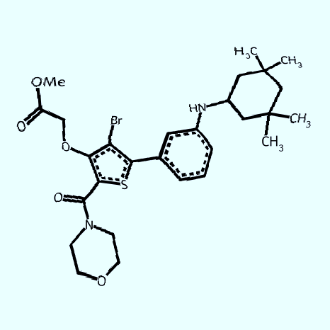 COC(=O)COc1c(C(=O)N2CCOCC2)sc(-c2cccc(NC3CC(C)(C)CC(C)(C)C3)c2)c1Br